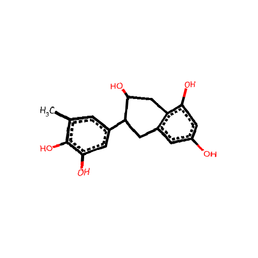 Cc1cc(C2Cc3cc(O)cc(O)c3CC2O)cc(O)c1O